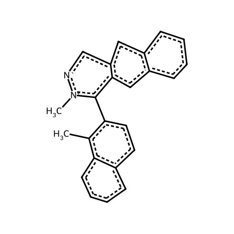 Cc1c(-c2c3cc4ccccc4cc3cn[n+]2C)ccc2ccccc12